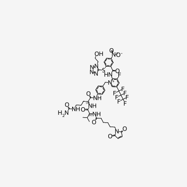 CC(C)[C@H](NC(=O)CCCCCN1C(=O)C=CC1=O)C(=O)N[C@@H](CCCNC(N)=O)C(=O)Nc1ccc(C[n+]2cc(C(F)(F)C(F)(F)C(F)(F)F)cc(F)c2NC(=O)c2cc([N+](=O)[O-])ccc2Sc2nnnn2CCO)cc1